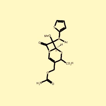 COC1(N(C(C)=O)c2cccs2)C(=O)N2C=C(COC(N)=O)C(C(=O)O)S[C@@H]21